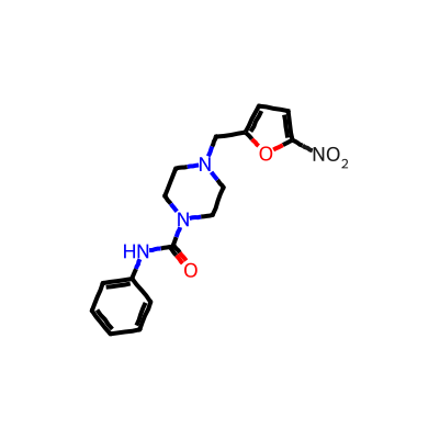 O=C(Nc1ccccc1)N1CCN(Cc2ccc([N+](=O)[O-])o2)CC1